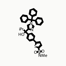 CNS(=O)(=O)c1ccc(-c2ccc(C(O)(c3cn(C(c4ccccc4)(c4ccccc4)c4ccccc4)cn3)C(C)C)cc2)s1